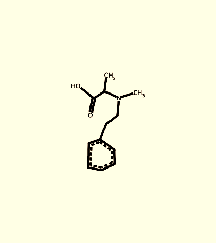 CC(C(=O)O)N(C)CCc1ccccc1